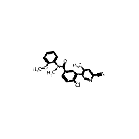 COc1ccccc1N(C)C(=O)c1ccc(Cl)c(-c2cnc(C#N)cc2C)c1